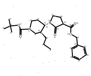 CCC[C@H]1CN(C(=O)OC(C)(C)C)CC[C@@H]1N1CCC(C(=O)OCc2ccccc2)C1=O